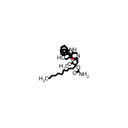 CCCCCCCCC(C)CC(Cc1cc2c(cn1)[nH]c1ccccc12)(OC(N)=O)C(=O)NC(CO)Cc1ccccc1